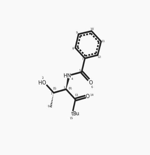 C[C@H](O)[C@@H](NC(=O)c1ccccc1)C(=O)C(C)(C)C